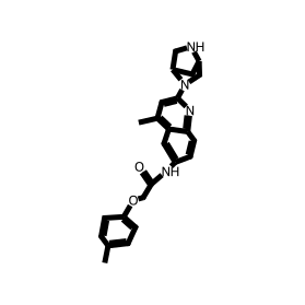 Cc1ccc(OCC(=O)Nc2ccc3nc(N4CC5CC4CN5)cc(C)c3c2)cc1